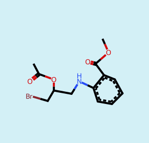 COC(=O)c1ccccc1NCC(CBr)OC(C)=O